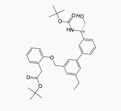 CCc1cc(COc2ccccc2CC(=O)OC(C)(C)C)cc(-c2cccc([C@@H](CO)NC(=O)OC(C)(C)C)c2)c1